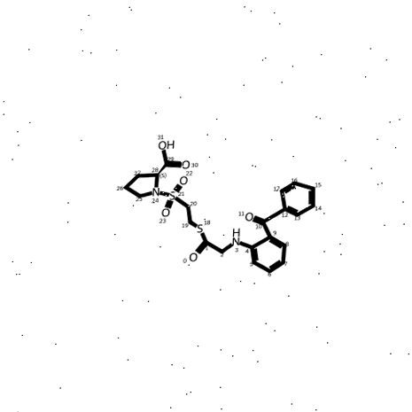 O=C(CNc1ccccc1C(=O)c1ccccc1)SCCS(=O)(=O)N1CCC[C@H]1C(=O)O